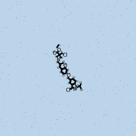 CCOC(=O)C1(CCl)CN(CC2=Cc3ccc(OCc4ccc5c(c4)c(Cl)nn5C(C)C)cc3OC2)C1